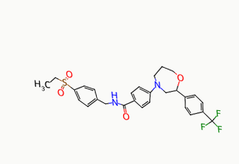 CCS(=O)(=O)c1ccc(CNC(=O)c2ccc(N3CCCOC(c4ccc(C(F)(F)F)cc4)C3)cc2)cc1